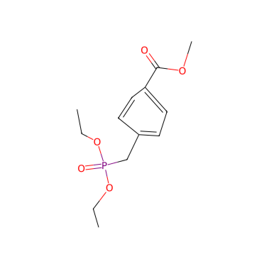 CCOP(=O)(Cc1ccc(C(=O)OC)cc1)OCC